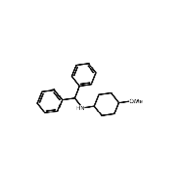 COC1CCC(NC(c2ccccc2)c2ccccc2)CC1